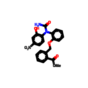 COC(=O)c1ccccc1COc1ccccc1N(C(N)=O)c1ccc([N+](=O)[O-])cc1O